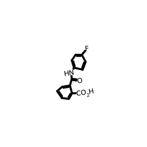 O=C(O)c1ccccc1C(=O)Nc1ccc(F)cc1